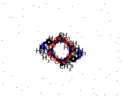 CC(C)C[C@H]1C(=O)O[C@H](Cc2ccc(Cn3ccnc3Cl)cc2)C(=O)N(C)[C@@H](CC(C)C)C(=O)O[C@H](C)C(=O)N(C)[C@@H](CC(C)C)C(=O)O[C@H](Cc2ccc(Cn3ccnc3Cl)cc2)C(=O)N(C)[C@@H](CC(C)C)C(=O)O[C@H](C)C(=O)N1C